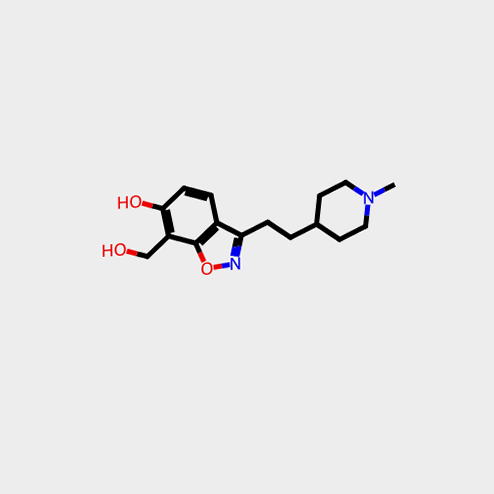 CN1CCC(CCc2noc3c(CO)c(O)ccc23)CC1